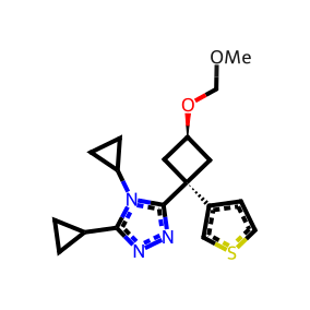 COCO[C@H]1C[C@@](c2ccsc2)(c2nnc(C3CC3)n2C2CC2)C1